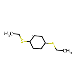 CCSC1[CH]CC(SCC)[CH]C1